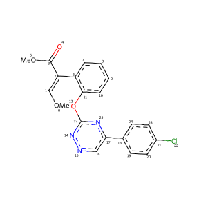 CO/C=C(/C(=O)OC)c1ccccc1Oc1nncc(-c2ccc(Cl)cc2)n1